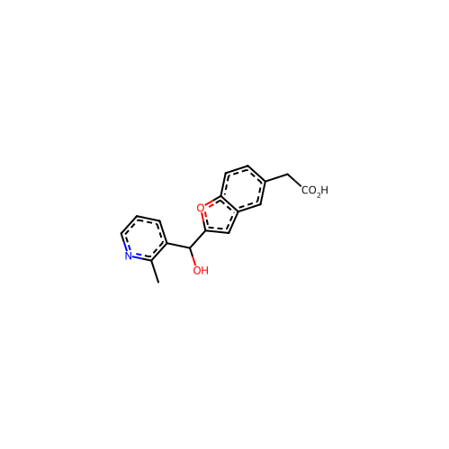 Cc1ncccc1C(O)c1cc2cc(CC(=O)O)ccc2o1